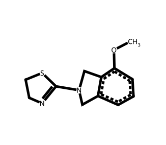 COc1cccc2c1CN(C1=NCCS1)C2